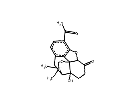 C[N+]1(C)CCC23c4c5ccc(C(N)=O)c4OC2C(=O)CCC3(O)C1C5